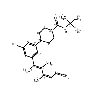 C=N/C=C(N)\C(N)=C(/C)c1cc(F)cc(N2CCN(C(=O)OC(C)(C)C)CC2)c1